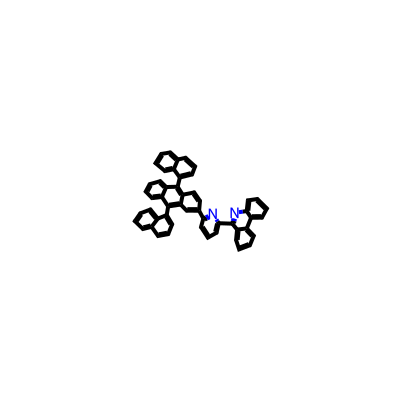 c1cc(-c2ccc3c(-c4cccc5ccccc45)c4ccccc4c(-c4cccc5ccccc45)c3c2)nc(-c2nc3ccccc3c3ccccc23)c1